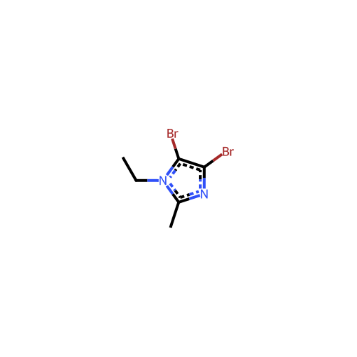 CCn1c(C)nc(Br)c1Br